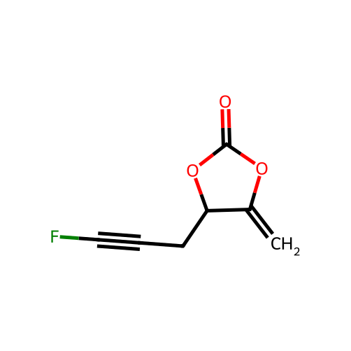 C=C1OC(=O)OC1CC#CF